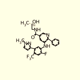 C[C@H](O)CNC(=O)c1cnc(-c2ccccc2)c(Nc2cc(-c3ccn(C)n3)c(C(F)(F)F)cc2F)c1